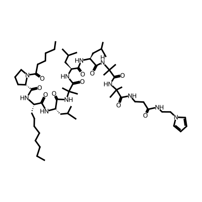 CCCCCCCC[C@H](NC(=O)[C@@H]1CCCN1C(=O)CCCCC)C(=O)N[C@@H](CC(C)C)C(=O)NC(C)(C)C(=O)N[C@@H](CC(C)C)C(=O)N[C@@H](CC(C)C)C(=O)NC(C)(C)C(=O)NC(C)(C)C(=O)NCCC(=O)NCCn1cccc1